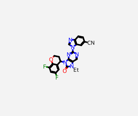 CCn1c(=O)n(C2CCOc3c(F)cc(F)cc32)c2nc(-n3cnc4ccc(C#N)cc43)ncc21